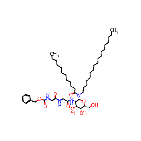 CCCCCCCCCCCCCCCCCCN(C(=O)CCCCCCCCCCC)[C@@H]1O[C@H](CO)[C@@H](O)[C@H](O)[C@H]1NC(=O)CNC(=O)CNC(=O)OCc1ccccc1